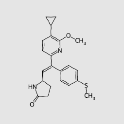 COc1nc(C(=C[C@H]2CCC(=O)N2)c2ccc(SC)cc2)ccc1C1CC1